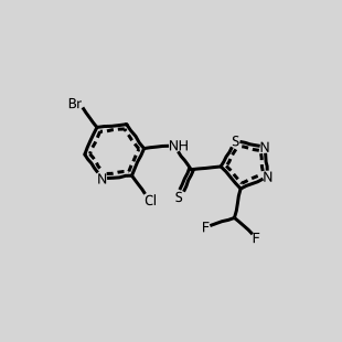 FC(F)c1nnsc1C(=S)Nc1cc(Br)cnc1Cl